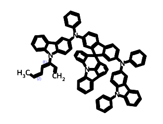 C=C/C(=C\C=C/C)n1c2ccccc2c2cc(N(c3ccccc3)c3ccc4c(c3)C3(c5cc(N(c6ccccc6)c6ccc7c(c6)c6ccccc6n7-c6ccccc6)ccc5-4)c4ccccc4-n4c5ccccc5c5cccc3c54)ccc21